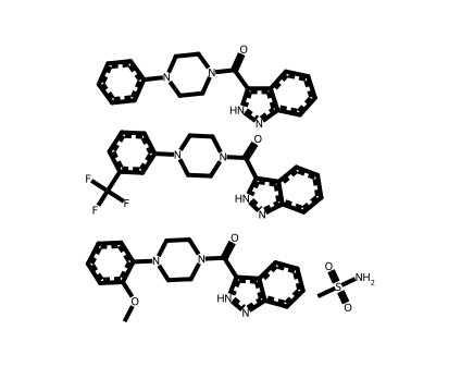 COc1ccccc1N1CCN(C(=O)c2[nH]nc3ccccc23)CC1.CS(N)(=O)=O.O=C(c1[nH]nc2ccccc12)N1CCN(c2cccc(C(F)(F)F)c2)CC1.O=C(c1[nH]nc2ccccc12)N1CCN(c2ccccc2)CC1